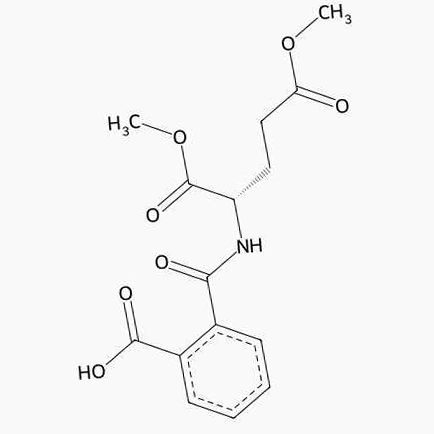 COC(=O)CC[C@H](NC(=O)c1ccccc1C(=O)O)C(=O)OC